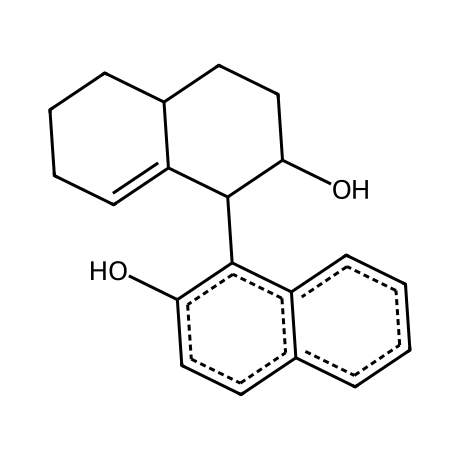 Oc1ccc2ccccc2c1C1C2=CCCCC2CCC1O